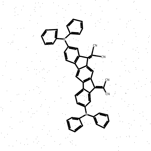 N#CC(C#N)=C1c2cc(B(c3ccccc3)c3ccccc3)ccc2-c2cc3c(cc21)C(=C(C#N)C#N)c1cc(B(c2ccccc2)c2ccccc2)ccc1-3